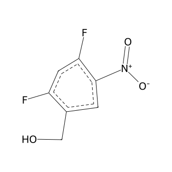 O=[N+]([O-])c1cc(CO)c(F)cc1F